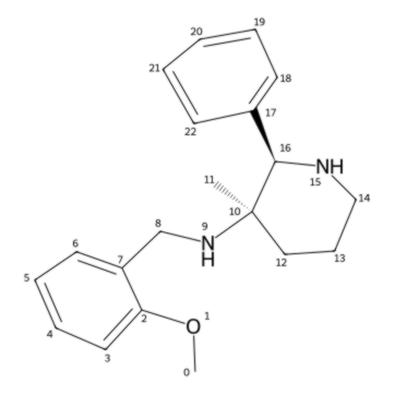 COc1ccccc1CN[C@]1(C)CCCN[C@@H]1c1ccccc1